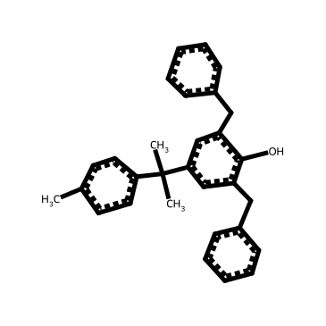 Cc1ccc(C(C)(C)c2cc(Cc3ccccc3)c(O)c(Cc3ccccc3)c2)cc1